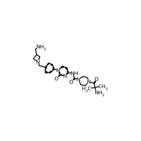 CC(C)(N)C(=O)N1CCN(C(=O)Nc2ccn(-c3ccc(CN4CC(CN)C4)cc3)c(=O)n2)CC1